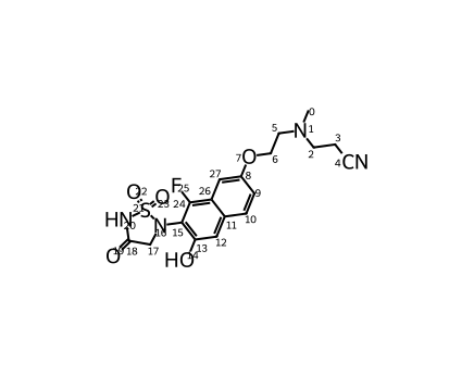 CN(CCC#N)CCOc1ccc2cc(O)c(N3CC(=O)NS3(=O)=O)c(F)c2c1